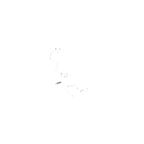 CSCCCNC(=O)C1CCN(C(C)=O)C1